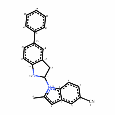 Cc1cc2cc(C#N)ccc2n1C1Cc2cc(-c3ccccc3)ccc2[N]1